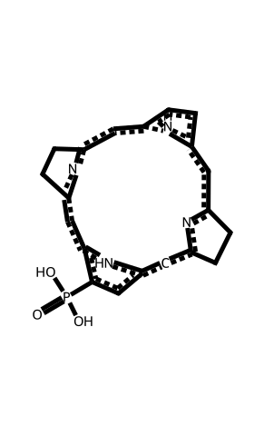 O=P(O)(O)c1cc2cc3nc(cc4ccc(cc5nc(cc1[nH]2)CC5)[nH]4)CC3